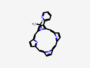 COC(C)n1c2cc3nc(cc4ccc(cc5nc(cc1c(-c1ccccn1)c2)C=C5)[nH]4)C=C3